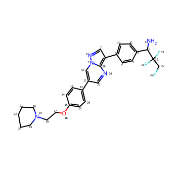 NC(c1ccc(-c2cnn3cc(-c4ccc(OCCN5CCCCC5)cc4)cnc23)cc1)C(F)(F)CF